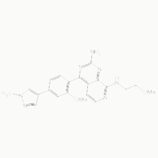 COCCNc1nccc2c(-c3ccc(-c4cnn(C)c4)cc3OC)nc(N)nc12